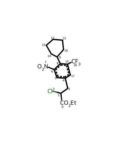 CCOC(=O)C(Cl)Cc1cc([N+](=O)[O-])c(C2CCCCC2)c(C(F)(F)F)c1